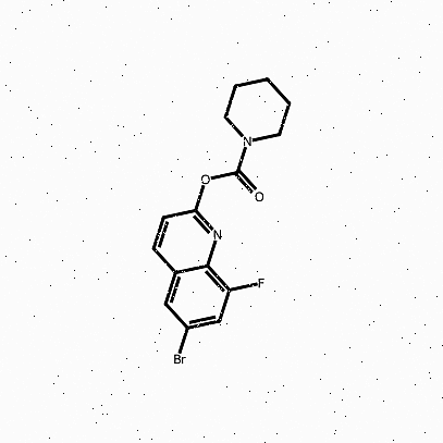 O=C(Oc1ccc2cc(Br)cc(F)c2n1)N1CCCCC1